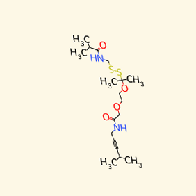 CC(C)C#CCNC(=O)COCCOC(C)(C)SSCNC(=O)C(C)C